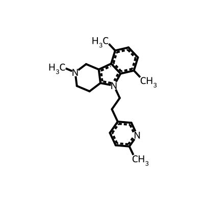 Cc1ccc(CCn2c3c(c4c(C)ccc(C)c42)CN(C)CC3)cn1